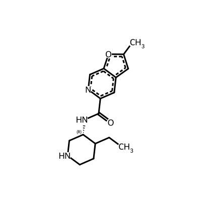 CCC1CCNC[C@@H]1NC(=O)c1cc2cc(C)oc2cn1